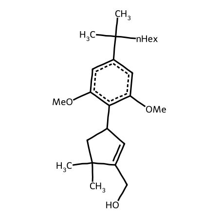 CCCCCCC(C)(C)c1cc(OC)c(C2C=C(CO)C(C)(C)C2)c(OC)c1